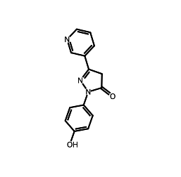 O=C1CC(c2cccnc2)=NN1c1ccc(O)cc1